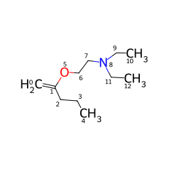 C=C(CCC)OCCN(CC)CC